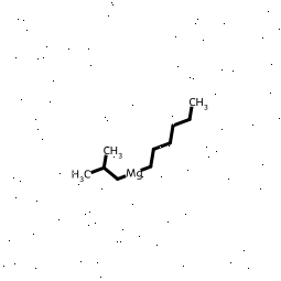 CCCCC[CH2][Mg][CH2]C(C)C